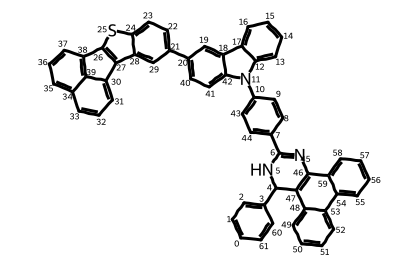 c1ccc(C2NC(c3ccc(-n4c5ccccc5c5cc(-c6ccc7sc8c(c7c6)-c6cccc7cccc-8c67)ccc54)cc3)=Nc3c2c2ccccc2c2ccccc32)cc1